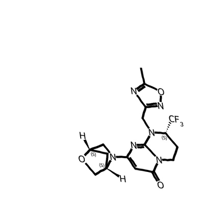 Cc1nc(CN2c3nc(N4C[C@@H]5C[C@H]4CO5)cc(=O)n3CC[C@H]2C(F)(F)F)no1